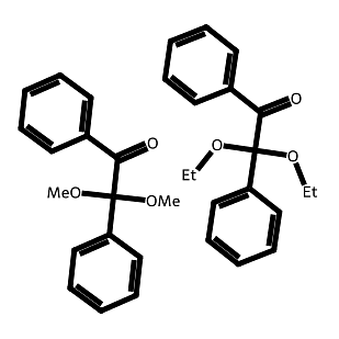 CCOC(OCC)(C(=O)c1ccccc1)c1ccccc1.COC(OC)(C(=O)c1ccccc1)c1ccccc1